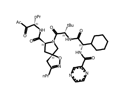 CCCC1=NO[C@]2(C1)C[C@@H](C(=O)N[C@@H](CCC)C(=O)C(C)=O)N(C(=O)[C@@H](NC(=O)[C@@H](NC(=O)c1cnccn1)C1CCCCC1)C(C)(C)C)C2